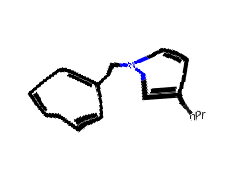 CCCc1ccn(Cc2ccccc2)c1